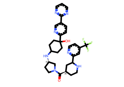 O=C([C@@H]1CCNC(c2cc(C(F)(F)F)ccn2)C1)N1CC[C@H](NC2CCC(O)(c3ccc(-c4ncccn4)cn3)CC2)C1